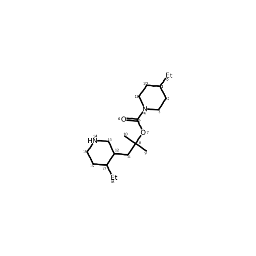 CCC1CCN(C(=O)OC(C)(C)CC2CNCCC2CC)CC1